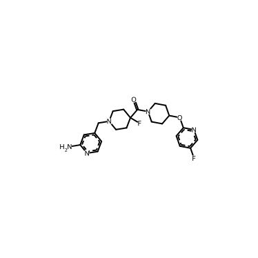 Nc1cc(CN2CCC(F)(C(=O)N3CCC(Oc4ccc(F)cn4)CC3)CC2)ccn1